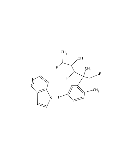 Cc1ccc(F)cc1C(C)(CF)C(F)C(O)C(C)F.c1cc2sccc2cn1